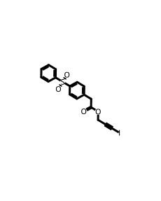 O=C(Cc1ccc(S(=O)(=O)c2ccccc2)cc1)OCC#CI